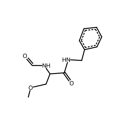 COCC(NC=O)C(=O)NCc1ccccc1